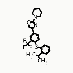 CC(C)c1ccccc1Sc1ccc(-c2coc(N3CCCCC3)n2)cc1C(F)(F)F